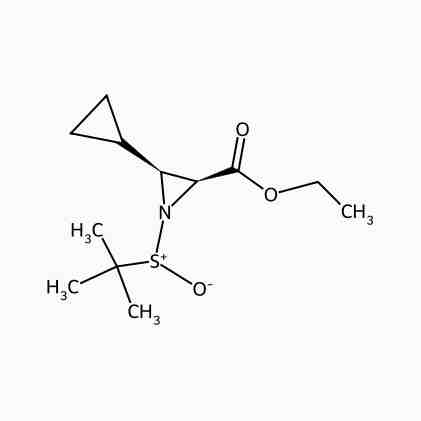 CCOC(=O)[C@@H]1[C@H](C2CC2)N1[S+]([O-])C(C)(C)C